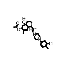 CC(=O)O[C@@H]1[C][C@@]2(O)[C@H](C)CC[C@@H]([C@H](C)CN3CCN(c4ccc(C)c(Cl)c4)CC3)[C@H]2C=C1C